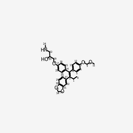 CC/C(=C(\c1ccc(OCOC)cc1)c1ccc(OCC(O)CNC)cc1)c1ccc2c(c1)OCO2